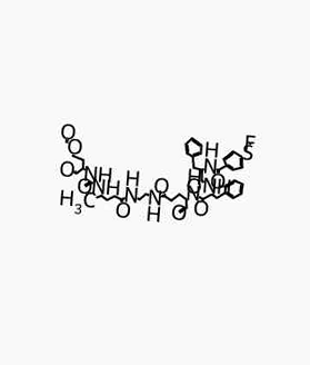 CC(CCC(=O)NCCNC(=O)CCC(C=O)NC(=O)C(Cc1ccccc1)NC(=O)C(Cc1ccccc1)NC(=O)c1ccc(SF)cc1)NC(=O)NC(C=O)CCOC=O